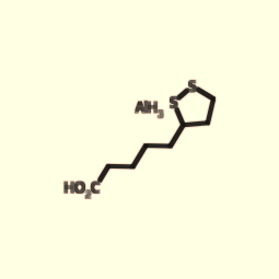 O=C(O)CCCCC1CCSS1.[AlH3]